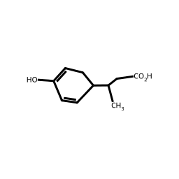 CC(CC(=O)O)C1C=CC(O)=CC1